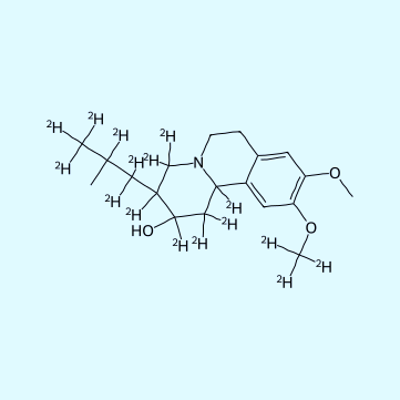 [2H]C([2H])([2H])Oc1cc2c(cc1OC)CCN1C([2H])([2H])C([2H])(C([2H])([2H])C([2H])(C)C([2H])([2H])[2H])C([2H])(O)C([2H])([2H])C21[2H]